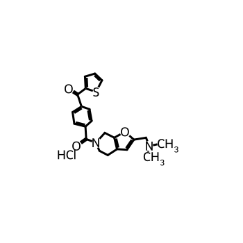 CN(C)Cc1cc2c(o1)CN(C(=O)c1ccc(C(=O)c3cccs3)cc1)CC2.Cl